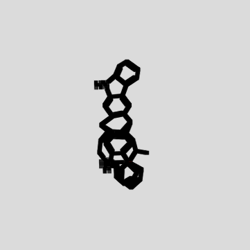 CC1/C=C2\C(=C/CNc3ccccc31)C1c3cc4[nH]c5ccccc5c4cc3C2c2cc3c(cc21)[nH]c1ccccc13